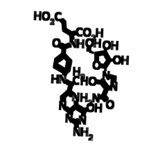 CC(Nc1ccc(C(=O)NC(CCC(=O)O)C(=O)O)cc1)c1cnc2nc(N)nc(O)c2n1.NC(=O)c1ncn([C@@H]2O[C@H](CO)[C@@H](O)[C@H]2O)c1O